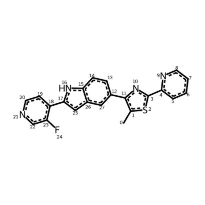 Cc1sc(-c2ccccn2)nc1-c1ccc2[nH]c(-c3ccncc3F)cc2c1